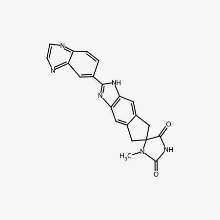 CN1C(=O)NC(=O)C12Cc1cc3nc(-c4ccc5nccnc5c4)[nH]c3cc1C2